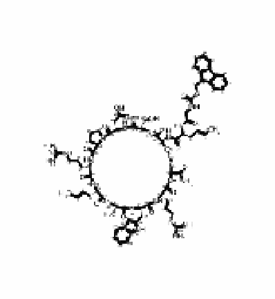 CC=CC[C@H](NC(=O)CNC(=O)OCC1c2ccccc2-c2ccccc21)C(=O)N[C@H]1CCCC(C(N)=O)NC(=O)[C@H](CCCNC(=N)N)NC(=O)[C@H](Cc2cc3ccccc3[nH]2)NC(=O)[C@H](C)NC(=O)[C@H](CC=CC)NC(=O)[C@H](CCCNC(=N)N)NC(=O)C2CCCN2C(=O)[C@H](CC(=O)O)NC(=O)[C@H](CO)NC1=O